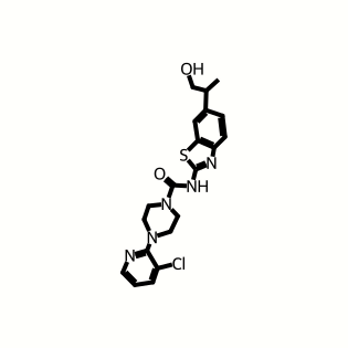 CC(CO)c1ccc2nc(NC(=O)N3CCN(c4ncccc4Cl)CC3)sc2c1